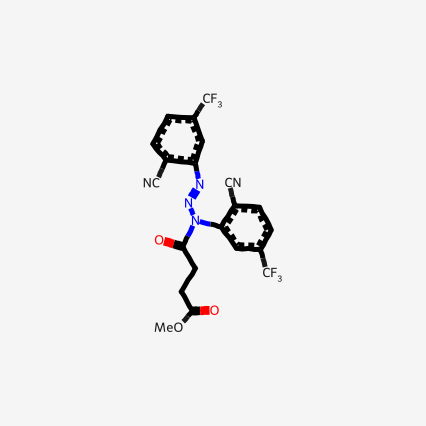 COC(=O)CCC(=O)N(N=Nc1cc(C(F)(F)F)ccc1C#N)c1cc(C(F)(F)F)ccc1C#N